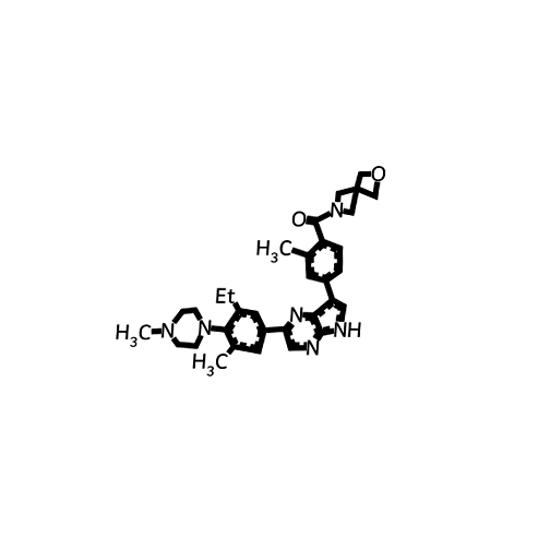 CCc1cc(-c2cnc3[nH]cc(-c4ccc(C(=O)N5CC6(COC6)C5)c(C)c4)c3n2)cc(C)c1N1CCN(C)CC1